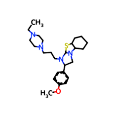 CCN1CCN(CCCN2C(c3ccc(OC)cc3)CN3C4CCCCC4SC23)CC1